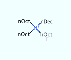 CCCCCCCCCC[N+](CCCCCCCC)(CCCCCCCC)CCCCCCCC.[I-]